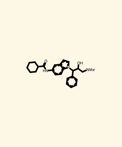 CNCC(O)C(c1ccccc1)n1ccc2cc(NC(=O)C3CCCCC3)ccc21